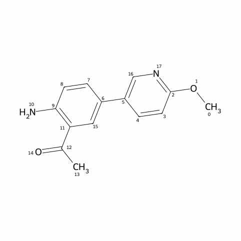 COc1ccc(-c2ccc(N)c(C(C)=O)c2)cn1